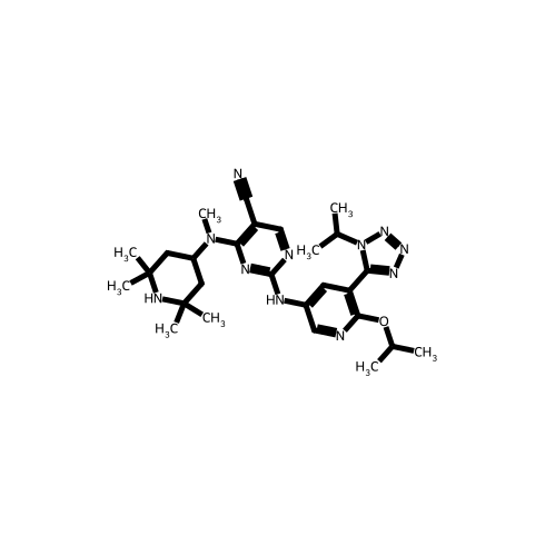 CC(C)Oc1ncc(Nc2ncc(C#N)c(N(C)C3CC(C)(C)NC(C)(C)C3)n2)cc1-c1nnnn1C(C)C